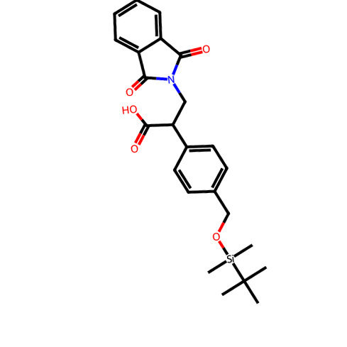 CC(C)(C)[Si](C)(C)OCc1ccc(C(CN2C(=O)c3ccccc3C2=O)C(=O)O)cc1